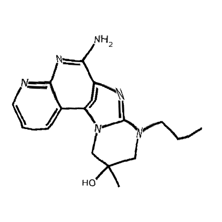 CCCN1CC(C)(O)Cn2c1nc1c(N)nc3ncccc3c12